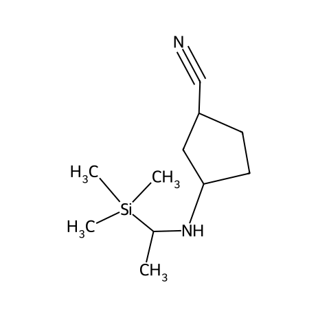 CC(NC1CCC(C#N)C1)[Si](C)(C)C